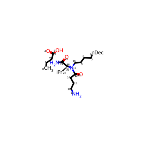 CCCC(=O)O.CCCCCCCCCCCCCCN(C(=O)CCCN)[C@H](C(N)=O)C(C)C